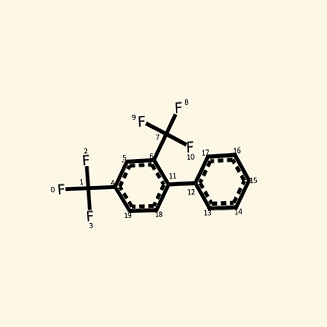 FC(F)(F)c1[c]c(C(F)(F)F)c(-c2ccccc2)cc1